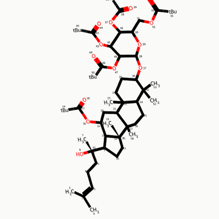 CC(C)=CCC[C@](C)(O)C1CC[C@]2(C)C1C(OC(=O)C(C)(C)C)CC1C3(C)CCC(OC4OC(COC(=O)C(C)(C)C)C(OC(=O)C(C)(C)C)C(OC(=O)C(C)(C)C)C4OC(=O)C(C)(C)C)C(C)(C)C3CCC12C